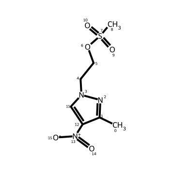 Cc1nn(CCOS(C)(=O)=O)cc1[N+](=O)[O-]